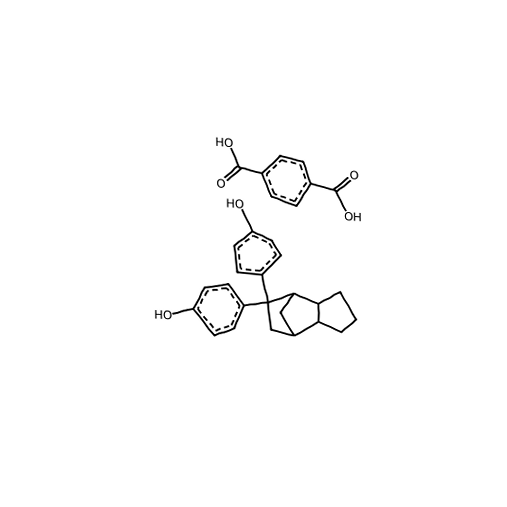 O=C(O)c1ccc(C(=O)O)cc1.Oc1ccc(C2(c3ccc(O)cc3)CC3CC2C2CCCC32)cc1